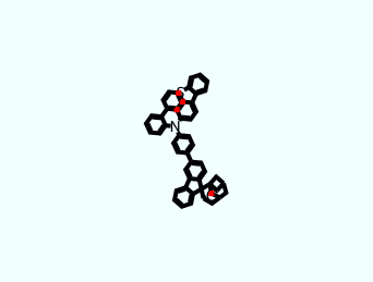 c1ccc(-c2ccccc2N(c2ccc(-c3ccc4c(c3)-c3ccccc3C43C4CC5CC6CC3(C5)C6C4)cc2)c2ccc3c(c2)sc2ccccc23)cc1